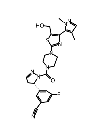 Cc1cnn(C)c1-c1nc(N2CCN(C(=O)N3N=CC[C@H]3c3cc(F)cc(C#N)c3)CC2)sc1CO